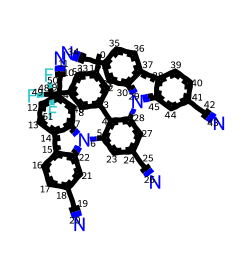 Cc1cc(-c2c(-n3c4cc(C#N)ccc4c4ccc(C#N)cc43)cc(C#N)cc2-n2c3cc(C#N)ccc3c3ccc(C#N)cc32)cc(C(F)(F)F)c1